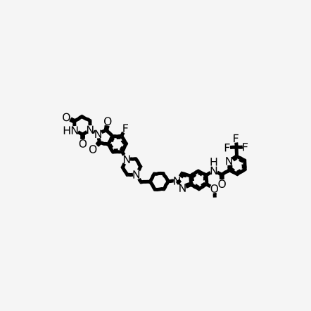 COc1cc2nn(C3CCC(CN4CCN(c5cc(F)c6c(c5)C(=O)N(N5CCC(=O)NC5=O)C6=O)CC4)CC3)cc2cc1NC(=O)c1cccc(C(F)(F)F)n1